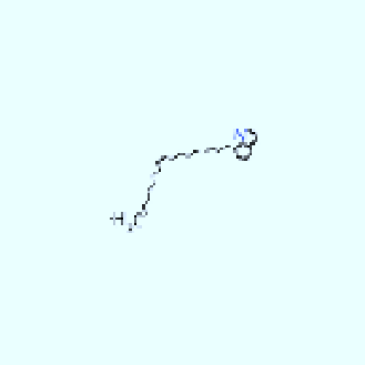 [CH2]CCCCCCC/C=C\CCCCCCCCc1cccc2cccnc12